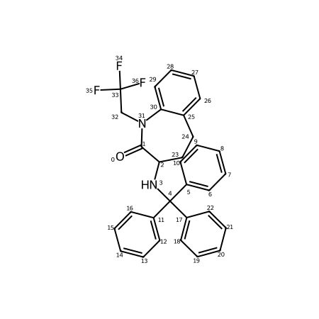 O=C1C(NC(c2ccccc2)(c2ccccc2)c2ccccc2)CCc2ccccc2N1CC(F)(F)F